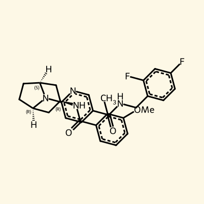 COc1cccc(C(=O)N[C@H]2C[C@H]3CC[C@@H](C2)N3c2ccc(C(=O)NCc3ccc(F)cc3F)cn2)c1C